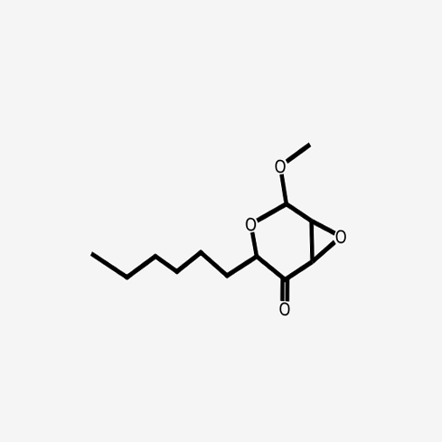 CCCCCCC1OC(OC)C2OC2C1=O